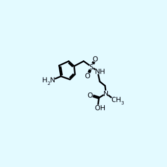 CN(CCNS(=O)(=O)Cc1ccc(N)cc1)C(=O)O